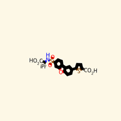 CC(C)[C@H](NS(=O)(=O)c1ccc2c(c1)oc1ccc(-c3ccc(C(=O)O)s3)cc12)C(=O)O